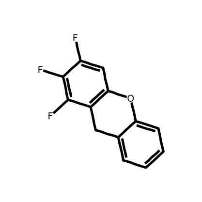 Fc1cc2c(c(F)c1F)Cc1ccccc1O2